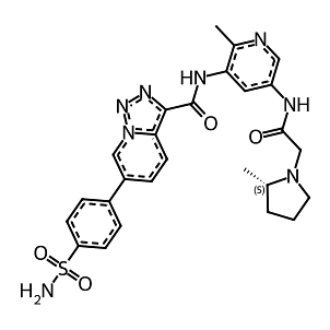 Cc1ncc(NC(=O)CN2CCC[C@@H]2C)cc1NC(=O)c1nnn2cc(-c3ccc(S(N)(=O)=O)cc3)ccc12